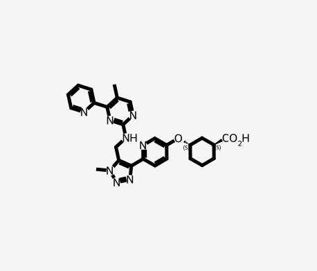 Cc1cnc(NCc2c(-c3ccc(O[C@H]4CCC[C@H](C(=O)O)C4)cn3)nnn2C)nc1-c1ccccn1